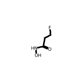 O=C([CH]CF)NO